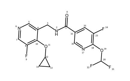 O=C(NCc1cncc(F)c1OC1CC1)c1cnc(OC(F)F)c(F)c1